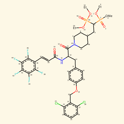 CCOP(=O)(OC)C(CC1CCN(C(=O)C(Cc2ccc(OCc3c(Cl)cccc3Cl)cc2)NC(=O)/C=C/c2c(F)c(F)c(F)c(F)c2F)CC1)P(=O)(OCC)OCC